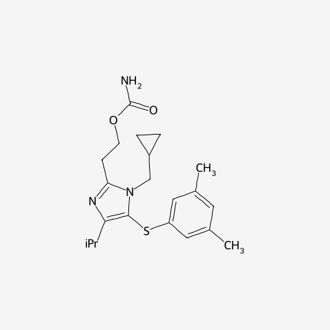 Cc1cc(C)cc(Sc2c(C(C)C)nc(CCOC(N)=O)n2CC2CC2)c1